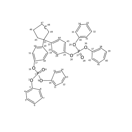 O=P(Oc1ccccc1)(Oc1ccccc1)Oc1ccc(C2(c3ccc(OP(=O)(Oc4ccccc4)Oc4ccccc4)cc3)CCCCC2)cc1